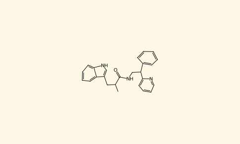 CC(Cc1c[nH]c2ccccc12)C(=O)NCC(c1ccccc1)c1ccccn1